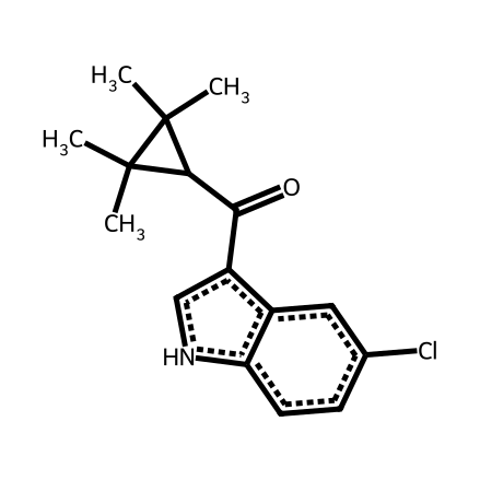 CC1(C)C(C(=O)c2c[nH]c3ccc(Cl)cc23)C1(C)C